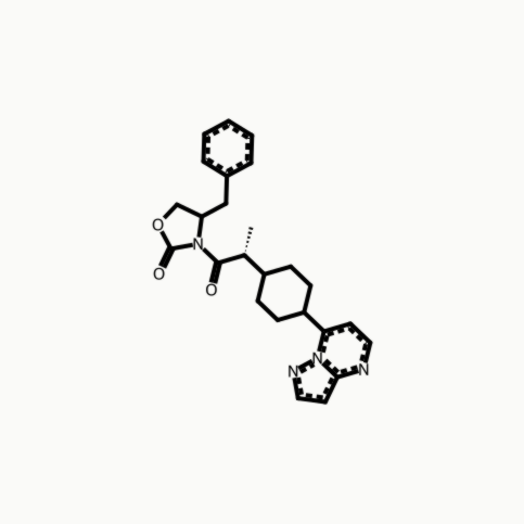 C[C@@H](C(=O)N1C(=O)OCC1Cc1ccccc1)C1CCC(c2ccnc3ccnn23)CC1